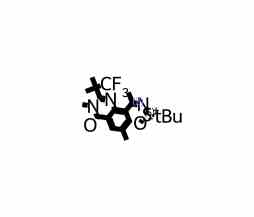 C/C(=N/[S@+]([O-])C(C)(C)C)c1cc(C)cc2c(=O)n(C)c(C(C)(C)C(F)(F)F)nc12